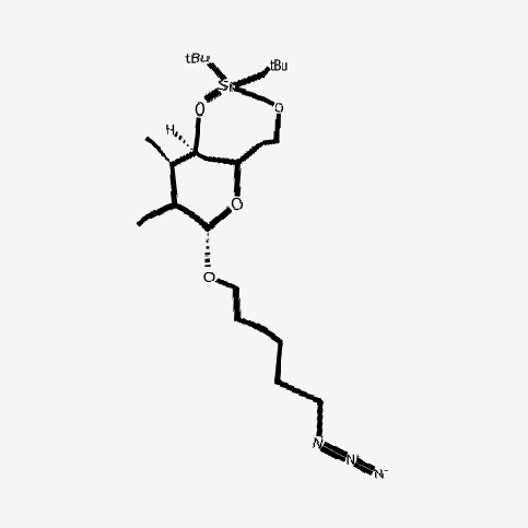 CC1[C@@H](OCCCCCN=[N+]=[N-])OC2CO[Si](C(C)(C)C)(C(C)(C)C)O[C@@H]2[C@@H]1C